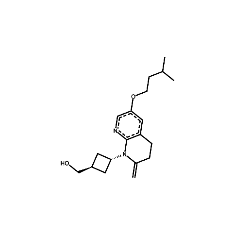 C=C1CCc2cc(OCCC(C)C)cnc2N1[C@H]1C[C@H](CO)C1